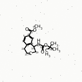 COC(=O)c1ccc2c(c1)C(NC(=O)OC(C)(C)C)CCCC2